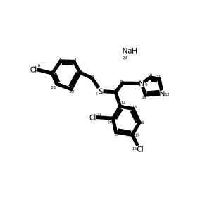 Clc1ccc(CSC(Cn2ccnc2)c2ccc(Cl)cc2Cl)cc1.[NaH]